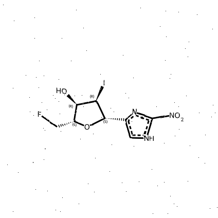 O=[N+]([O-])c1nc([C@@H]2O[C@H](CF)[C@@H](O)[C@H]2I)c[nH]1